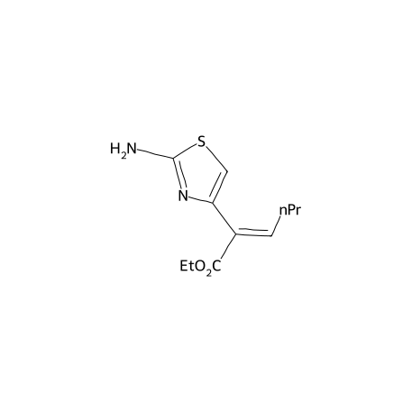 CCC/C=C(/C(=O)OCC)c1csc(N)n1